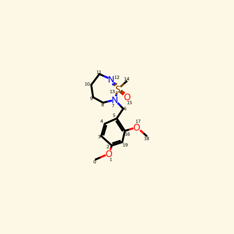 COc1ccc(CN2CCCCN=S2(C)=O)c(OC)c1